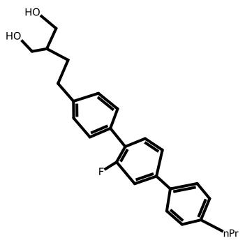 CCCc1ccc(-c2ccc(-c3ccc(CCC(CO)CO)cc3)c(F)c2)cc1